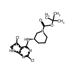 CC(C)(C)OC(=O)N1CCC[C@@H](Nc2nc(Cl)nc3[nH]cc(Cl)c23)C1